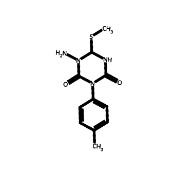 CSC1NC(=O)N(c2ccc(C)cc2)C(=O)N1N